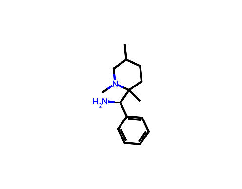 CC1CCC(C)([C@H](N)c2ccccc2)N(C)C1